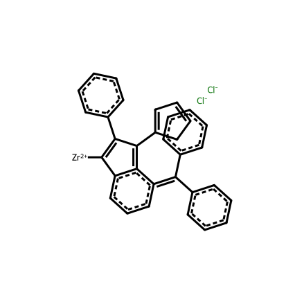 [Cl-].[Cl-].[Zr+2][C]1=C(c2ccccc2)C(C2=CC=CC2)=c2c1cccc2=C(c1ccccc1)c1ccccc1